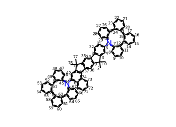 CC1(C)c2cc(-n3c4ccccc4c4ccccc4c4ccccc4c4ccccc43)ccc2-c2cc3c(cc21)-c1c(cc(-n2c4ccccc4c4ccccc4c4ccccc4c4ccccc42)c2ccccc12)C3(C)C